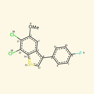 COc1cc2c(-c3ccc(F)cc3)csc2c(Cl)c1Cl